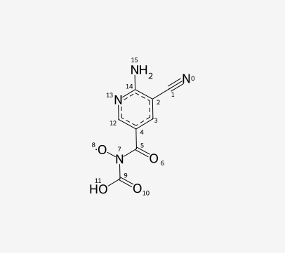 N#Cc1cc(C(=O)N([O])C(=O)O)cnc1N